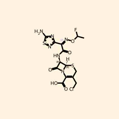 CC(F)O/N=C(\C(=O)N[C@@H]1C(=O)N2C(C(=O)O)=C(CCl)CS[C@H]12)c1nsc(N)n1